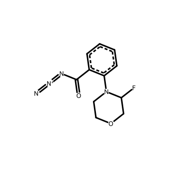 [N-]=[N+]=NC(=O)c1ccccc1N1CCOCC1F